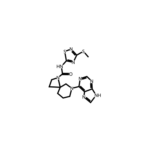 CSc1nsc(NC(=O)N2CCC23CCCN(c2ncnc4[nH]cnc24)C3)n1